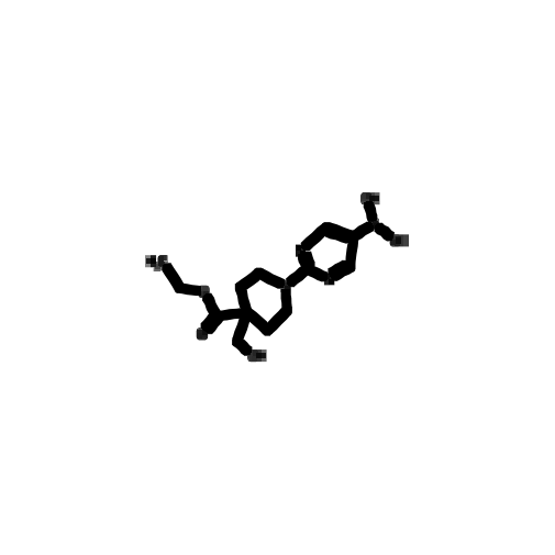 CCOC(=O)C1(CO)CCN(c2ncc(B(O)O)cn2)CC1